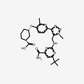 Cc1nc(-c2nnn(C)c2CNc2nc(C(N)=O)cc(C(C)(C)C)n2)ccc1O[C@H]1CCC[C@H](C(=O)O)C1